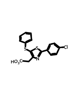 O=C(O)Cc1nc(-c2ccc(Cl)cc2)sc1Sc1ccccc1